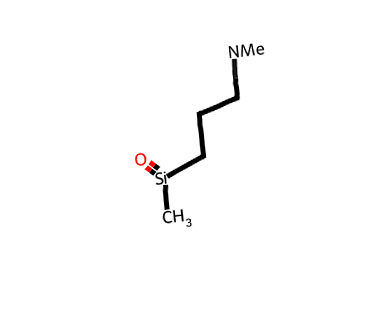 CNCCC[Si](C)=O